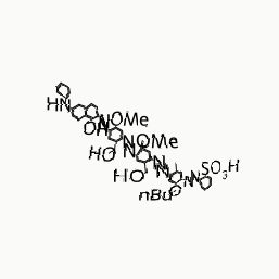 CCCCOc1cc(N=Nc2cc(OC)c(N=Nc3cc(OC)c(N=Nc4ccc5cc(Nc6ccccc6)ccc5c4O)cc3CO)cc2CO)c(C)cc1N=Nc1ccccc1S(=O)(=O)O